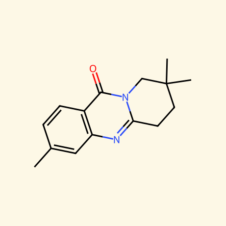 Cc1ccc2c(=O)n3c(nc2c1)CCC(C)(C)C3